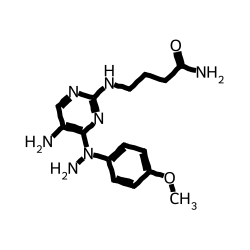 COc1ccc(N(N)c2nc(NCCCC(N)=O)ncc2N)cc1